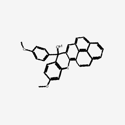 COc1ccc(C2(O)c3ccc(OC)cc3Sc3c2cc2ccc4cccc5ccc3c2c45)cc1